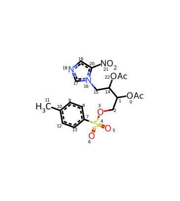 CC(=O)OC(COS(=O)(=O)c1ccc(C)cc1)C(Cn1cncc1[N+](=O)[O-])OC(C)=O